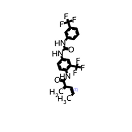 C=C(/C=C\C)C(=O)Nc1ccc(NC(=O)Nc2cccc(C(F)(F)F)c2)cc1C(F)(F)F